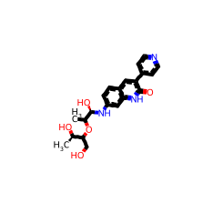 CC(OC(CO)[C@@H](C)O)[C@@H](O)Nc1ccc2cc(-c3ccncc3)c(=O)[nH]c2c1